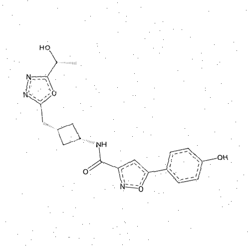 C[C@@H](O)c1nnc(C[C@H]2C[C@@H](NC(=O)c3cc(-c4ccc(O)cc4)on3)C2)o1